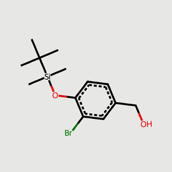 CC(C)(C)[Si](C)(C)Oc1ccc(CO)cc1Br